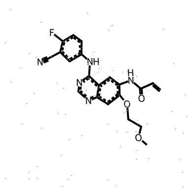 C=CC(=O)Nc1cc2c(Nc3ccc(F)c(C#N)c3)ncnc2cc1OCCOC